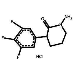 Cl.NN1CCCC(c2cc(F)c(F)c(F)c2)C1=O